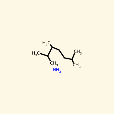 CC(C)CCC(C)C(C)C.N